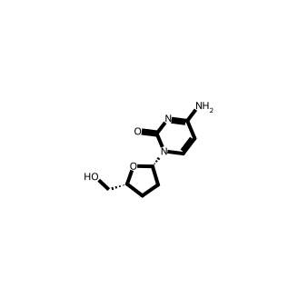 Nc1ccn([C@@H]2CC[C@H](CO)O2)c(=O)n1